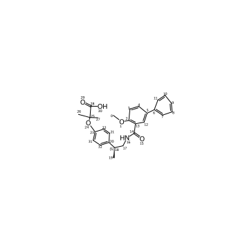 COc1ccc(-c2ccccc2)cc1C(=O)NC[C@@H](C)c1ccc(OC(C)(C)C(=O)O)cc1